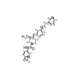 Cc1ccc(NC(=O)N2CC/C(=C\c3cccc(OCCc4cccnc4)c3)C(C)C2)cn1